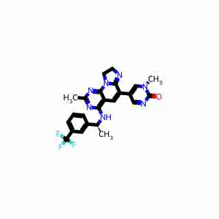 Cc1nc(N[C@H](C)c2cccc(C(F)(F)F)c2)c2c(n1)N1CCN=C1C(c1cnc(=O)n(C)c1)=C2